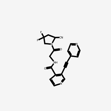 N#CC1CC(F)(F)CN1C(=O)CNC(=O)c1ccncc1C#Cc1ccncc1